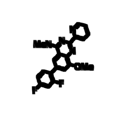 CNc1nc(-c2ccccn2)nc2c(OC)cc(-c3ccc(F)cc3F)cc12